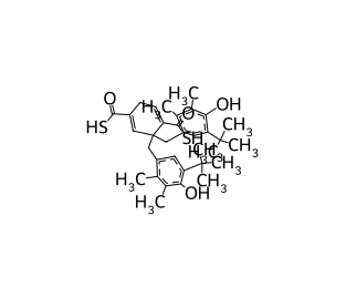 Cc1c(CC2(Cc3cc(C(C)(C)C)c(O)c(C)c3C)C=C(C(=O)S)CC=C2C(=O)S)cc(C(C)(C)C)c(O)c1C